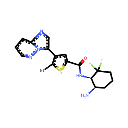 CCc1sc(C(=O)N[C@@H]2[C@H](N)CCCC2(F)F)cc1-c1cnc2cccnn12